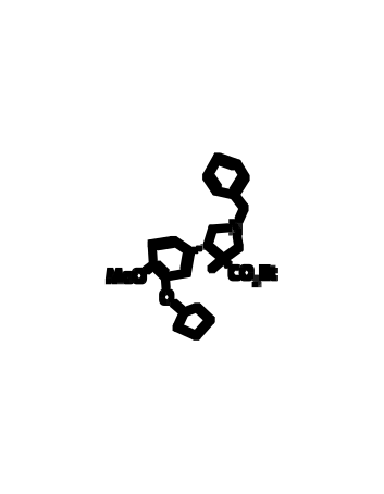 CCOC(=O)[C@]1(C)CN(Cc2ccccc2)C[C@H]1c1ccc(OC)c(OC2CCCC2)c1